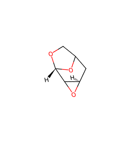 C1O[C@@H]2OC1C[C@H]1OC21